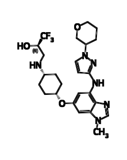 Cn1cnc2c(Nc3ccn(C4CCCOC4)n3)cc(O[C@H]3CC[C@@H](NC[C@@H](O)C(F)(F)F)CC3)cc21